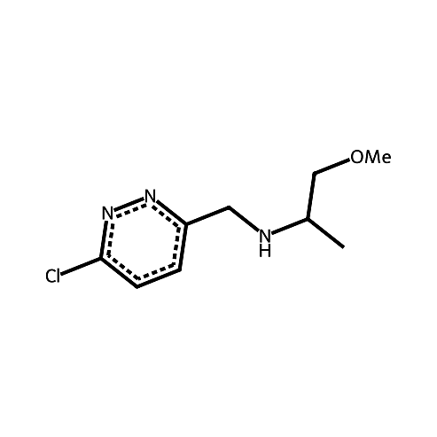 COCC(C)NCc1ccc(Cl)nn1